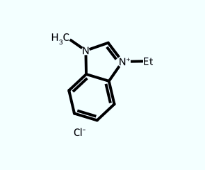 CC[n+]1cn(C)c2ccccc21.[Cl-]